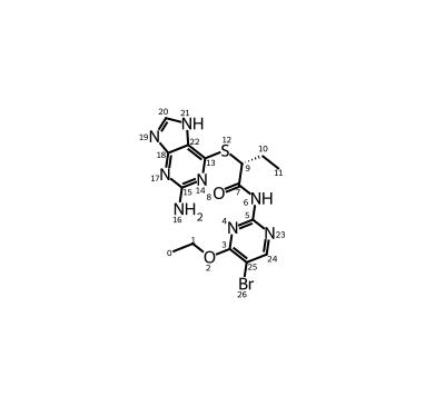 CCOc1nc(NC(=O)[C@@H](CC)Sc2nc(N)nc3nc[nH]c23)ncc1Br